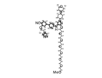 COCCOCCOCCOCCOCCOCCOCCOc1nn(C2CCC(N3C[C@@H](C)O[C@@H](C)C3)CC2)cc1Nc1ncc(-c2ccc(C#N)c(O[C@@H](C)Cn3cnnn3)c2)cn1